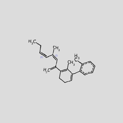 C=C(/C=C(C)\C=C/CC)C1=C(C)C(c2ccccc2C)=CCC1